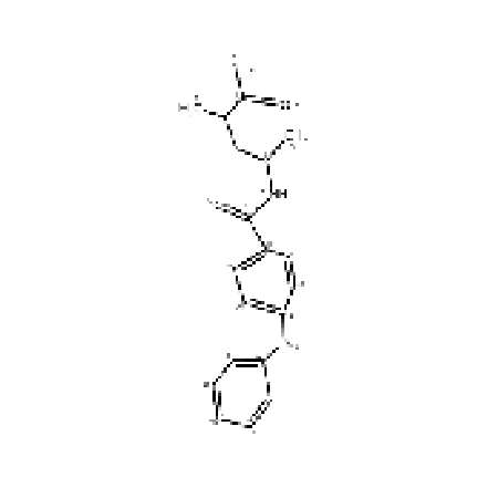 CC(CC(C)C(N)=O)NC(=O)c1ccc(Oc2ccccc2)cc1